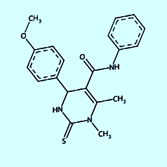 COc1ccc(C2NC(=S)N(C)C(C)=C2C(=O)Nc2ccccc2)cc1